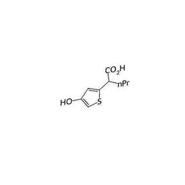 CCCC(C(=O)O)c1cc(O)cs1